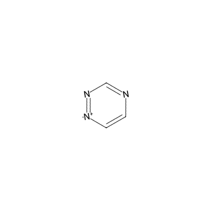 C1=C[N+]=NC=N1